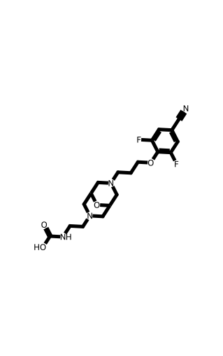 N#Cc1cc(F)c(OCCCN2CC3CN(CCNC(=O)O)CC(C2)O3)c(F)c1